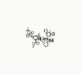 CCOC(=O)c1cc(NC(=O)OC(C)(C)C)cc2sc(C[C@H](OC3CCCC3)[C@H](O[Si](C)(C)C(C)(C)C)c3cc(OC)c(C)c(OC)c3)nc12